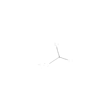 CCC([AsH2])CC